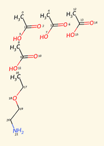 CC(=O)O.CC(=O)O.CC(=O)O.CC(=O)O.CCOCCN